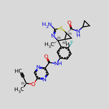 C#C[C@H](C)Oc1cnc(C(=O)Nc2ccc(F)c([C@@]3(C)N=C(N)S[C@@]4(C(=O)NC5CC5)C[C@H]43)c2)cn1